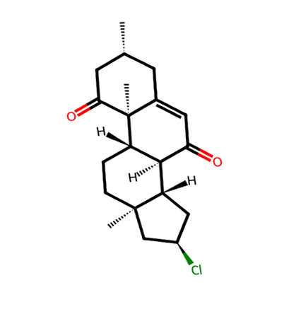 C[C@H]1CC(=O)[C@@]2(C)C(=CC(=O)[C@H]3[C@@H]4C[C@@H](Cl)C[C@@]4(C)CC[C@@H]32)C1